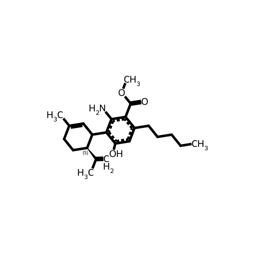 C=C(C)[C@H]1CCC(C)=CC1c1c(O)cc(CCCCC)c(C(=O)OC)c1N